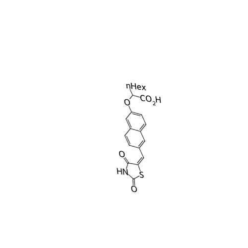 CCCCCCC(Oc1ccc2cc(C=C3SC(=O)NC3=O)ccc2c1)C(=O)O